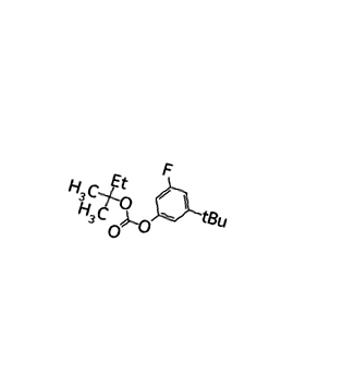 CCC(C)(C)OC(=O)Oc1cc(F)cc(C(C)(C)C)c1